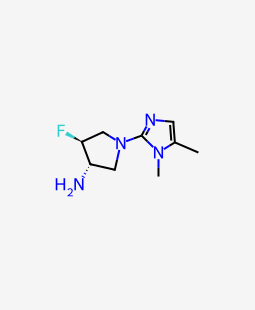 Cc1cnc(N2C[C@H](N)[C@@H](F)C2)n1C